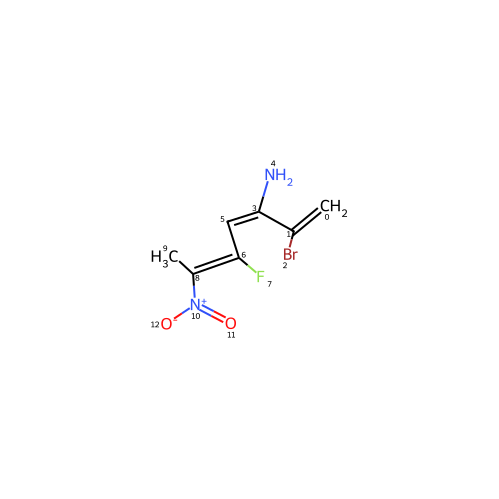 C=C(Br)/C(N)=C\C(F)=C(/C)[N+](=O)[O-]